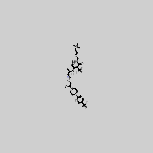 CC(/C=N/OCC(=O)N1CCN(c2ncc(C(F)(F)F)cn2)CC1)Nc1cnn(COCC[Si](C)(C)C)c(=O)c1C(F)(F)F